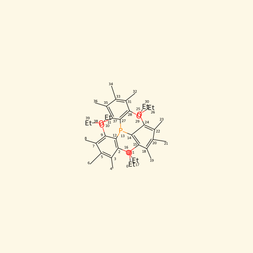 CCOc1c(C)c(C)c(C)c(OCC)c1P(c1c(OCC)c(C)c(C)c(C)c1OCC)c1c(OCC)c(C)c(C)c(C)c1OCC